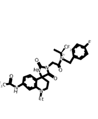 CCN1CCC2(NC(=O)N(CC(=O)N(Cc3ccc(F)cc3)[C@@H](C)C(F)(F)F)C2=O)c2ccc(NC(=O)C(F)(F)F)cc21